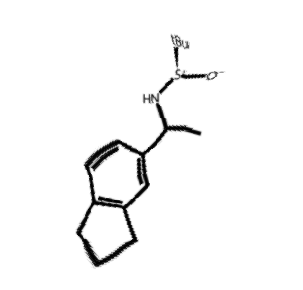 CC(N[S@+]([O-])C(C)(C)C)c1ccc2c(c1)CCC2